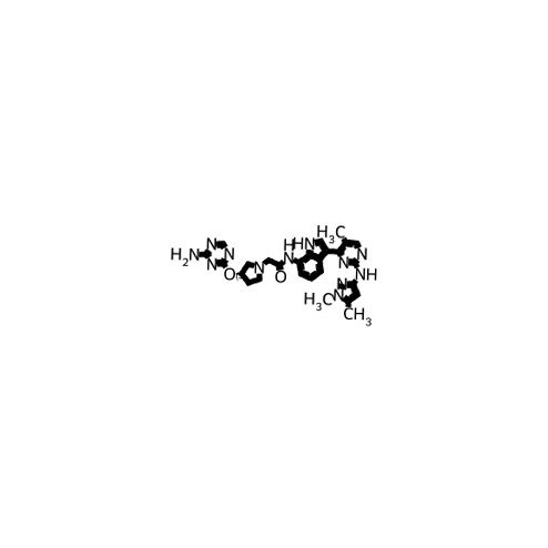 Cc1cnc(Nc2cc(C)n(C)n2)nc1-c1c[nH]c2c(NC(=O)CN3CC[C@H](Oc4ncnc(N)n4)C3)cccc12